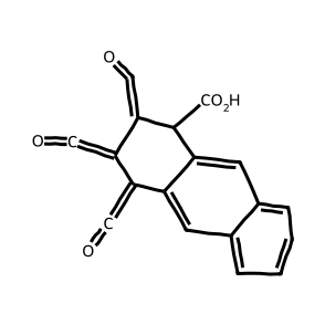 O=C=C1C(=C=O)c2cc3ccccc3cc2C(C(=O)O)C1=C=O